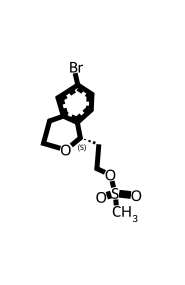 CS(=O)(=O)OCC[C@@H]1OCCc2cc(Br)ccc21